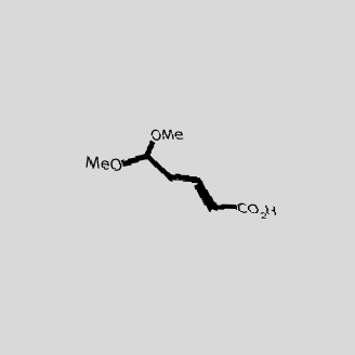 COC(C/C=C/C(=O)O)OC